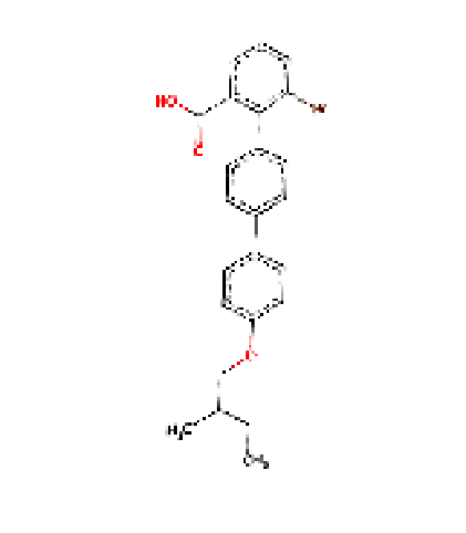 CCC(C)COc1ccc(-c2ccc(-c3c(Br)cccc3C(=O)O)cc2)cc1